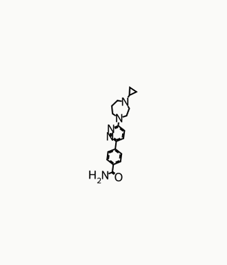 NC(=O)c1ccc(-c2ccc(N3CCCN(C4CC4)CC3)nn2)cc1